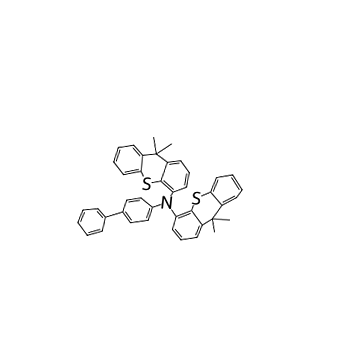 CC1(C)c2ccccc2Sc2c(N(c3ccc(-c4ccccc4)cc3)c3cccc4c3Sc3ccccc3C4(C)C)cccc21